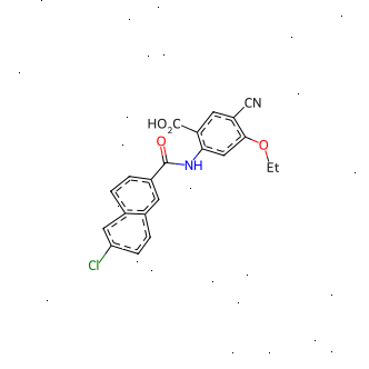 CCOc1cc(NC(=O)c2ccc3cc(Cl)ccc3c2)c(C(=O)O)cc1C#N